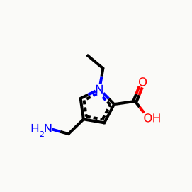 CCn1cc(CN)cc1C(=O)O